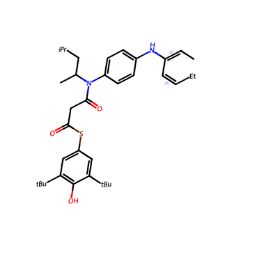 C/C=C(\C=C/CC)Nc1ccc(N(C(=O)CC(=O)Sc2cc(C(C)(C)C)c(O)c(C(C)(C)C)c2)C(C)CC(C)C)cc1